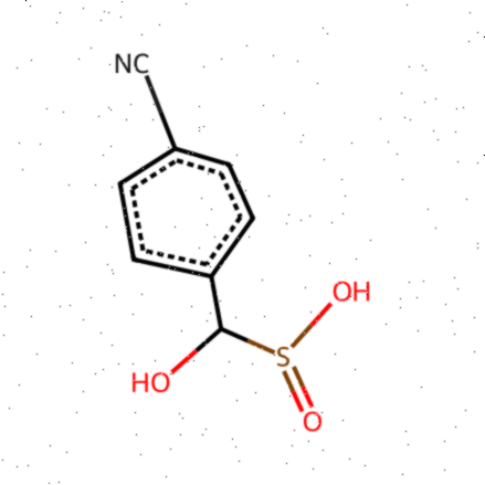 N#Cc1ccc(C(O)S(=O)O)cc1